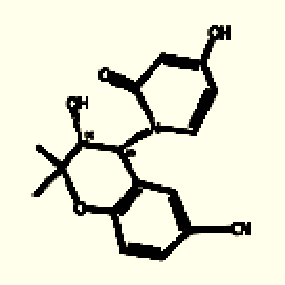 CC1(C)Oc2ccc(C#N)cc2[C@H](n2ccc(O)cc2=O)[C@H]1O